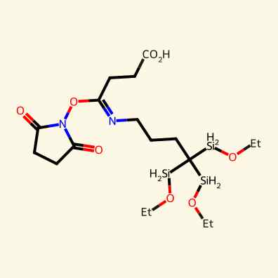 CCO[SiH2]C(CCCN=C(CCC(=O)O)ON1C(=O)CCC1=O)([SiH2]OCC)[SiH2]OCC